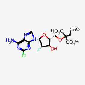 Nc1nc(Cl)nc2c1ncn2[C@@H]1O[C@H](COC(CC=O)(C(=O)O)C(=O)O)[C@@H](O)[C@@H]1F